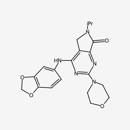 CC(C)N1Cc2c(Nc3ccc4c(c3)OCO4)nc(N3CCOCC3)nc2C1=O